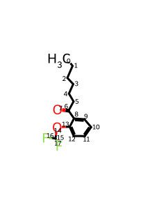 CCCCCCC(=O)c1ccccc1OC(F)F